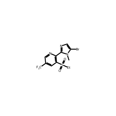 CCS(=O)(=O)c1cc(C(F)(F)F)cnc1-c1ncc(Br)n1C